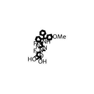 COc1ccc(C(Nc2nc(F)nc3c2ncn3[C@@H]2OC(CO)(CO)[C@@H](C)[C@@H]2F)(c2ccccc2)c2ccccc2)cc1